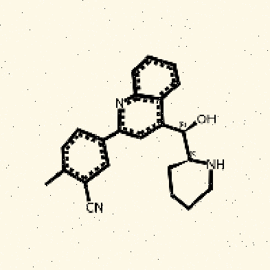 Cc1ccc(-c2cc([C@@H](O)[C@@H]3CCCCN3)c3ccccc3n2)cc1C#N